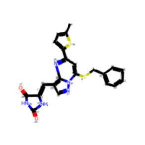 Cc1ccc(-c2cc(SCc3ccccc3)n3ncc(/C=C4\NC(=O)NC4=O)c3n2)s1